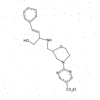 CCOC(=O)c1cnc(N2CCOC(CNC(/C=C/c3ccccc3)CO)C2)nc1